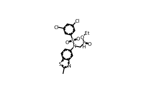 CCO[PH](=O)CN(c1ccc2sc(C)nc2c1)S(=O)(=O)c1cc(Cl)cc(Cl)c1